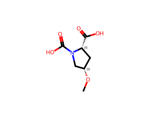 CO[C@H]1C[C@@H](C(=O)O)N(C(=O)O)C1